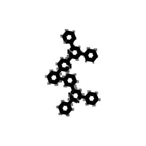 c1ccc(-c2cc(-c3ccccn3)nc(-c3ccc(-c4ccccc4-c4cccc(-c5cc(-c6ccccc6)nc(-c6ccccc6)n5)c4)cn3)c2)cc1